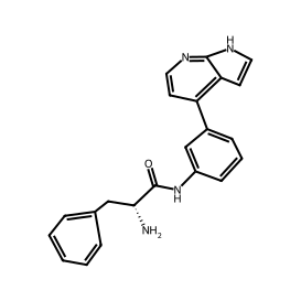 N[C@H](Cc1ccccc1)C(=O)Nc1cccc(-c2ccnc3[nH]ccc23)c1